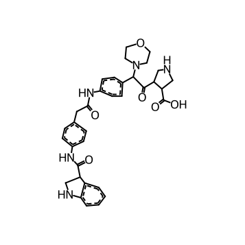 O=C(Cc1ccc(NC(=O)C2CNc3ccccc32)cc1)Nc1ccc(C(C(=O)C2CNCC2C(=O)O)N2CCOCC2)cc1